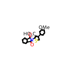 COc1cccc(-c2csc(N3C(=O)c4ccccc4C3=O)c2C(=O)O)c1